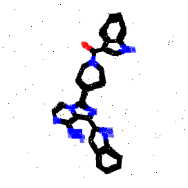 Nc1nccn2c(C3CCN(C(=O)c4c[nH]c5ccccc45)CC3)nc(C3Cc4ccccc4N3)c12